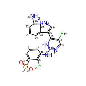 CS(=O)(=O)c1cccc(Nc2ncc(F)c(-c3c[nH]c4c(N)cccc34)n2)c1F